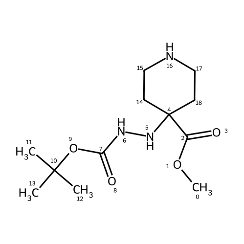 COC(=O)C1(NNC(=O)OC(C)(C)C)CCNCC1